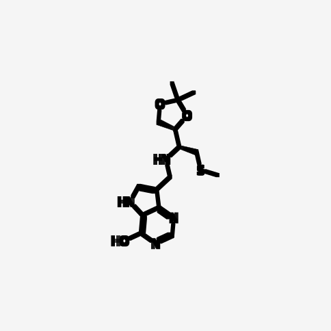 CSC[C@@H](NCc1c[nH]c2c(O)ncnc12)[C@H]1COC(C)(C)O1